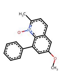 COc1cc(-c2ccccc2)c2c(ccc(C)[n+]2[O-])c1